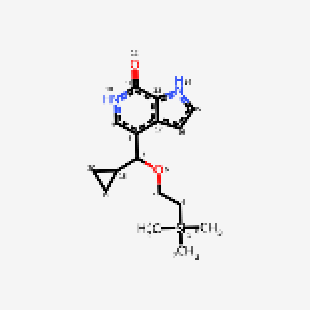 C[Si](C)(C)CCOC(c1c[nH]c(=O)c2[nH]ccc12)C1CC1